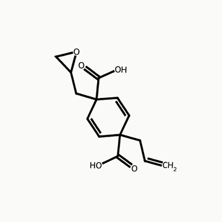 C=CCC1(C(=O)O)C=CC(CC2CO2)(C(=O)O)C=C1